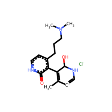 CC1=C(c2c(CCCN(C)C)cc[nH]c2=O)C(O)NC=[C+]1.[Cl-]